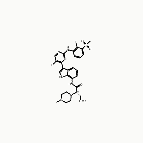 COC[C@@H](C(=O)Nc1cccc2c(-c3nc(Nc4cccc(S(C)(=O)=O)c4F)ncc3F)c[nH]c12)N1CCN(C)CC1